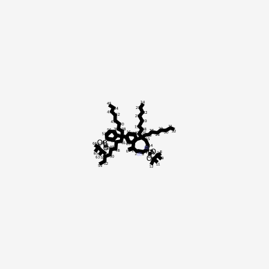 C=C1/C=C\C(B2OC(C)(C)C(C)(C)O2)=C/CC(CCCCCCCC)(CCCCCCCC)c2ccc(C(CCCCCCCC)(CCCCCCCC)c3cccc(B4OC(C)(C)C(C)(C)O4)c3)cc21